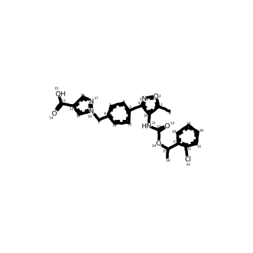 Cc1onc(-c2ccc(Cn3cc(C(=O)O)cn3)cc2)c1NC(=O)OC(C)c1ccccc1Cl